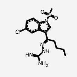 CCCCC(=NNC(=N)N)c1cn(S(C)(=O)=O)c2ccc(Cl)cc12